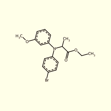 CCOC(=O)C(C)N(c1ccc(Br)cc1)c1cccc(OC)c1